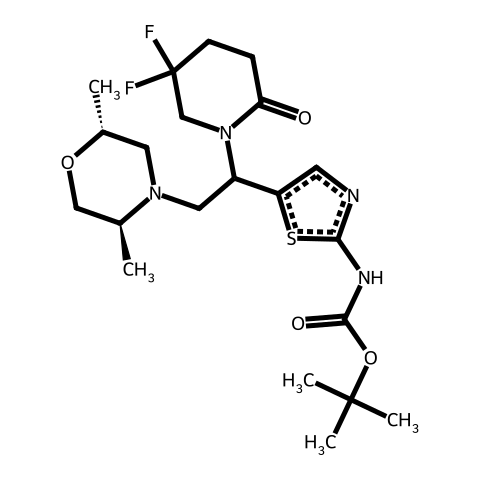 C[C@@H]1CN(CC(c2cnc(NC(=O)OC(C)(C)C)s2)N2CC(F)(F)CCC2=O)[C@@H](C)CO1